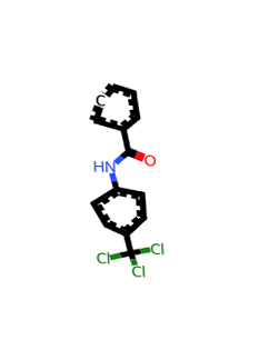 O=C(Nc1ccc(C(Cl)(Cl)Cl)cc1)c1ccccc1